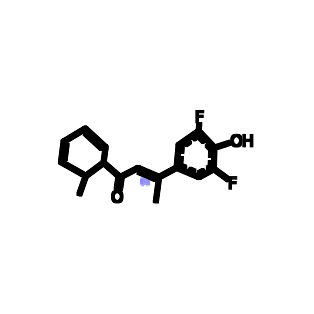 C/C(=C\C(=O)C1C=CC=CC1C)c1cc(F)c(O)c(F)c1